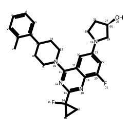 Cc1ccccc1C1CCN(c2nc(C3(F)CC3)nc3c(F)cc(N4CC[C@@H](O)C4)cc23)CC1